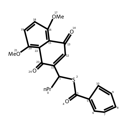 CCCC(SC(=O)c1ccccc1)C1=CC(=O)c2c(OC)ccc(OC)c2C1=O